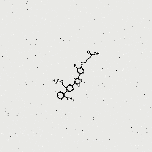 COCc1cc(-c2nc(-c3ccc(OCCCC(=O)O)c(F)c3)no2)ccc1-c1ccccc1C